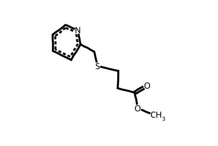 COC(=O)CCSCc1ccccn1